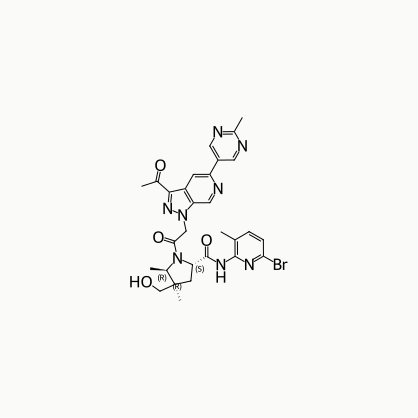 CC(=O)c1nn(CC(=O)N2[C@H](C(=O)Nc3nc(Br)ccc3C)C[C@@](C)(CO)[C@H]2C)c2cnc(-c3cnc(C)nc3)cc12